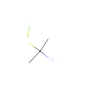 CC(C)(N)SF